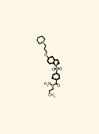 CCCN(N)C(=O)c1ccc(S(=O)(=O)n2ccc3cc(OCCCN4CCCCC4)ccc32)cc1